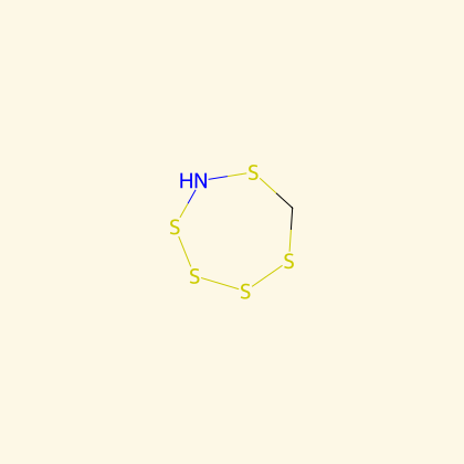 C1SNSSSS1